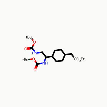 CCOC(=O)CC1CCC(C(CNC(=O)OC(C)(C)C)NC(=O)OC(C)(C)C)CC1